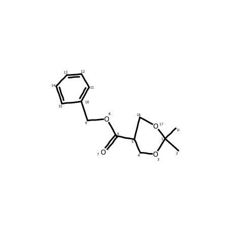 CC1(C)OCC(C(=O)OCc2ccccc2)CO1